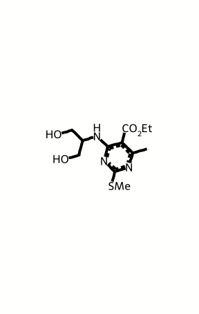 CCOC(=O)c1c(C)nc(SC)nc1NC(CO)CO